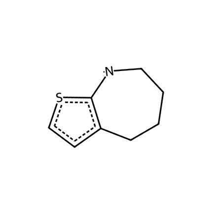 c1cc2c(s1)[N]CCCC2